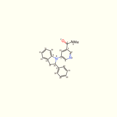 CNC(=O)c1cncc(N2c3ccccc3CC2c2ccccc2)c1